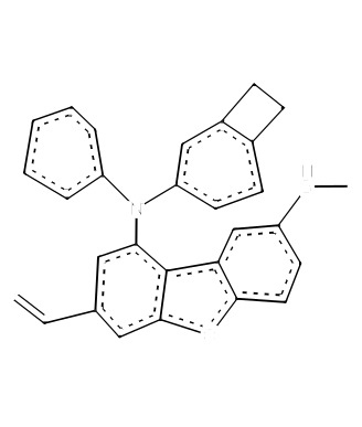 C=Cc1cc(N(c2ccccc2)c2ccc3c(c2)CC3)c2c(c1)oc1ccc(BC)cc12